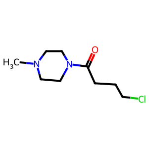 CN1CCN(C(=O)CCCCl)CC1